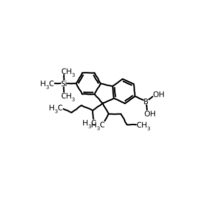 CCCC(C)C1(C(C)CCC)c2cc(B(O)O)ccc2-c2ccc([Si](C)(C)C)cc21